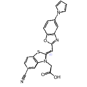 N#Cc1ccc2c(c1)N(CC(=O)O)/C(=C/c1nc3cc(-n4cccc4)ccc3o1)S2